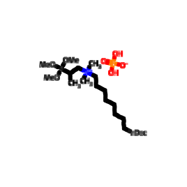 CCCCCCCCCCCCCCCCCC[N+](C)(C)CC(C)[Si](OC)(OC)OC.O=P([O-])(O)O